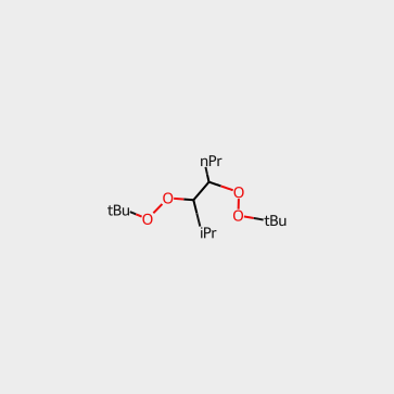 CCCC(OOC(C)(C)C)C(OOC(C)(C)C)C(C)C